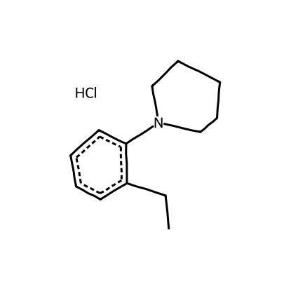 CCc1ccccc1N1CCCCC1.Cl